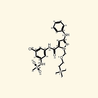 C[Si](C)(C)CCOCn1nc(Nc2ccccc2)cc1C(=O)Nc1cc(Cl)cc(NS(C)(=O)=O)c1